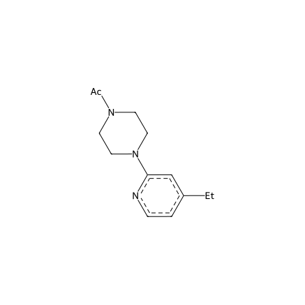 CCc1ccnc(N2CCN(C(C)=O)CC2)c1